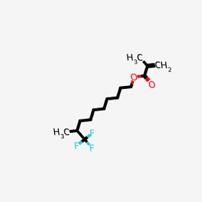 C=C(C)C(=O)OCCCCCCCCC(C)C(F)(F)F